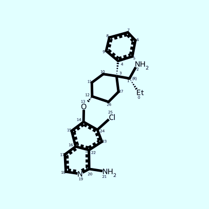 CC[C@@H](N)[C@]1(c2ccccc2)CC[C@@H](Oc2cc3ccnc(N)c3cc2Cl)CC1